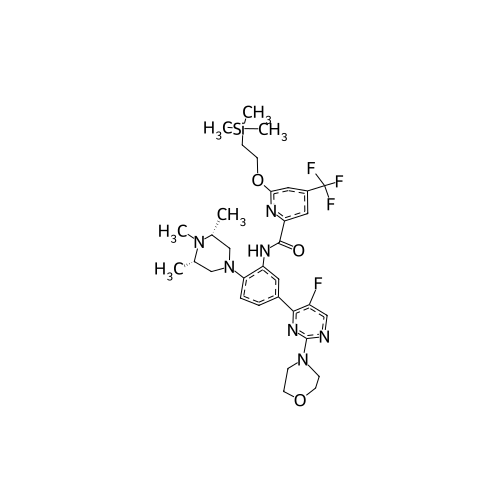 C[C@@H]1CN(c2ccc(-c3nc(N4CCOCC4)ncc3F)cc2NC(=O)c2cc(C(F)(F)F)cc(OCC[Si](C)(C)C)n2)C[C@H](C)N1C